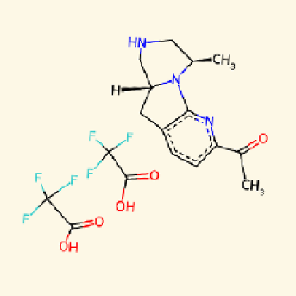 CC(=O)c1ccc2c(n1)N1[C@@H](CNC[C@H]1C)C2.O=C(O)C(F)(F)F.O=C(O)C(F)(F)F